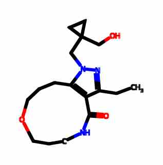 CCc1nn(CC2(CO)CC2)c2c1C(=O)NCCCOCCC2